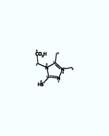 Cc1n(CC(=O)O)c(S)n[n+]1C